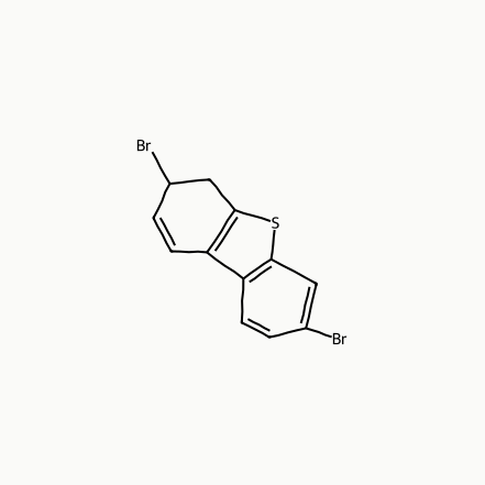 Brc1ccc2c3c(sc2c1)CC(Br)C=C3